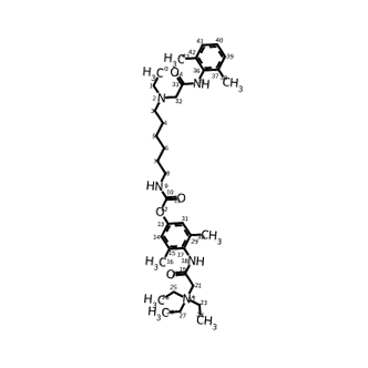 CCN(CCCCCCNC(=O)Oc1cc(C)c(NC(=O)C[N+](CC)(CC)CC)c(C)c1)CC(=O)Nc1c(C)cccc1C